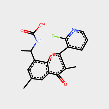 Cc1cc(C(C)NC(=O)O)c2oc(-c3cccnc3F)c(C)c(=O)c2c1